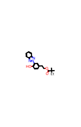 CCC(C)(C)C(=O)OCCc1ccc(O)c(-n2nc3ccccc3n2)c1